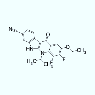 CCOc1cc2c(=O)c3c4ccc(C#N)cc4[nH]c3n(C(C)C)c2c(F)c1F